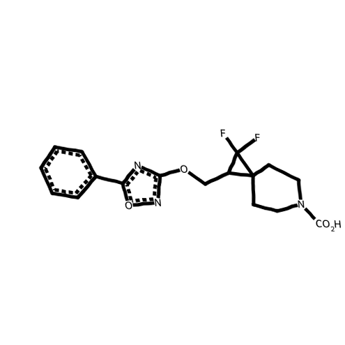 O=C(O)N1CCC2(CC1)C(COc1noc(-c3ccccc3)n1)C2(F)F